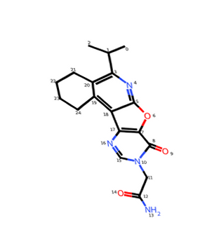 CC(C)c1nc2oc3c(=O)n(CC(N)=O)cnc3c2c2c1CCCC2